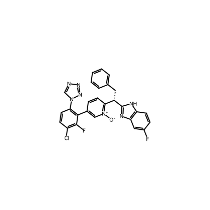 [O-][n+]1cc(-c2c(-n3cnnn3)ccc(Cl)c2F)ccc1[C@H](Cc1ccccc1)c1nc2cc(F)ccc2[nH]1